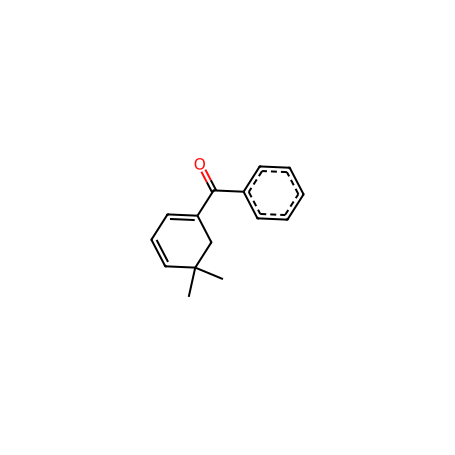 CC1(C)C=CC=C(C(=O)c2ccccc2)C1